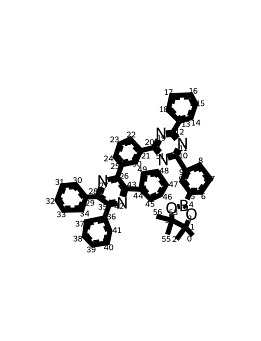 CC1(C)OB(c2cccc(-c3nc(-c4ccccc4)nc(-c4cccc(-c5nc(-c6ccccc6)c(-c6ccccc6)nc5-c5ccccc5)c4)n3)c2)OC1(C)C